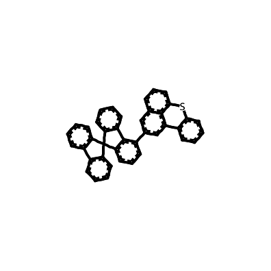 c1ccc2c(c1)Sc1cccc3cc(-c4cccc5c4-c4ccccc4C54c5ccccc5-c5ccccc54)cc-2c13